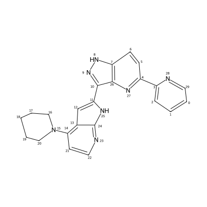 c1ccc(-c2ccc3[nH]nc(-c4cc5c(N6CCCCC6)ccnc5[nH]4)c3n2)nc1